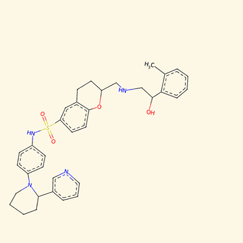 Cc1ccccc1C(O)CNCC1CCc2cc(S(=O)(=O)Nc3ccc(N4CCCCC4c4cccnc4)cc3)ccc2O1